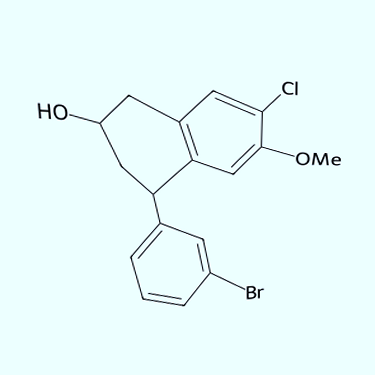 COc1cc2c(cc1Cl)CC(O)CC2c1cccc(Br)c1